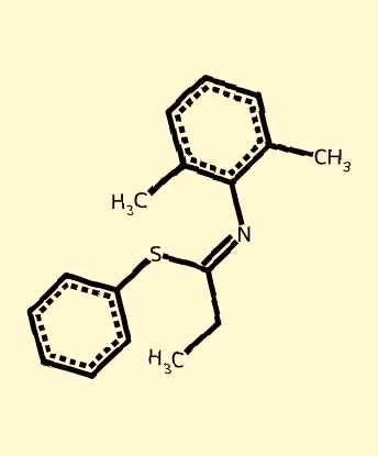 CCC(=Nc1c(C)cccc1C)Sc1ccccc1